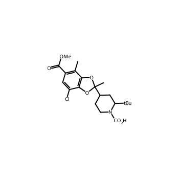 COC(=O)c1cc(Cl)c2c(c1C)OC(C)(C1CCN(C(=O)O)C(C(C)(C)C)C1)O2